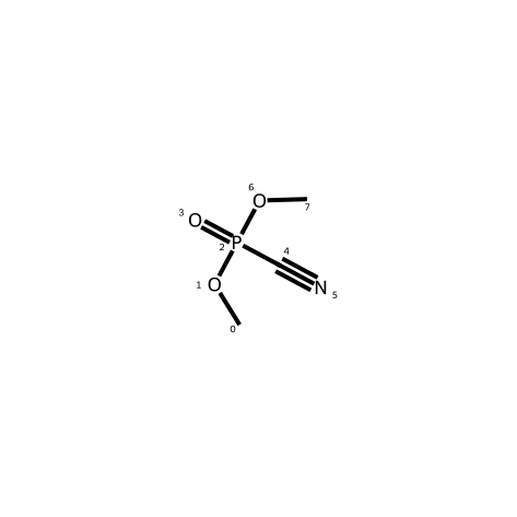 COP(=O)(C#N)OC